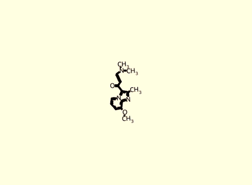 COc1cccn2c(C(=O)/C=C/N(C)C)c(C)nc12